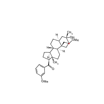 COCC[C@]12CC[C@@](C)(O)C[C@@H]1CC[C@H]1[C@@H]3CC[C@H](C(=O)c4cccc(OC)c4)[C@@]3(C)CC[C@@H]12